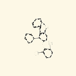 Clc1cccc(Br)c1Oc1ccc2oc3ccccc3c2c1-c1ccccc1